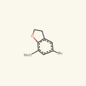 CCC(C)c1cc2c(c(OC)c1)OCC2